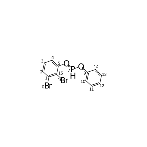 Brc1cccc(OPOc2ccccc2)c1Br